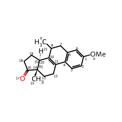 COc1ccc2c(c1)CC(C)C1=C2CC[C@]2(C)C(=O)CC[C@@H]12